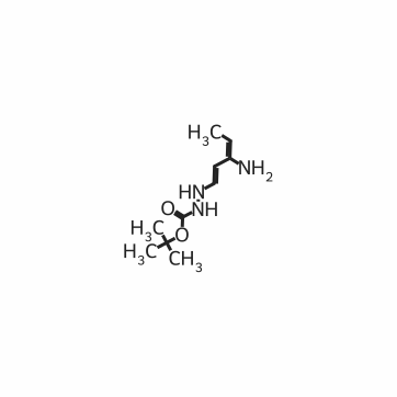 C/C=C(N)\C=C\NNC(=O)OC(C)(C)C